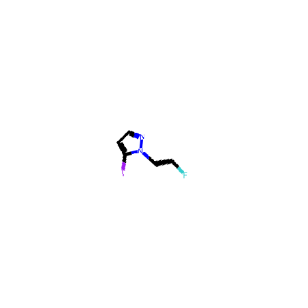 FCCn1nccc1I